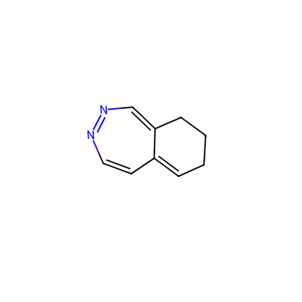 C1=CC2=CCCCC2=CN=N1